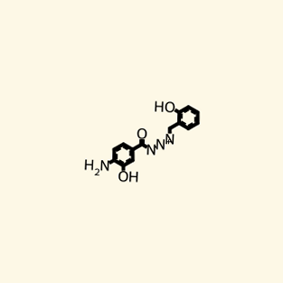 Nc1ccc(C(=O)N=[N+]=NCc2ccccc2O)cc1O